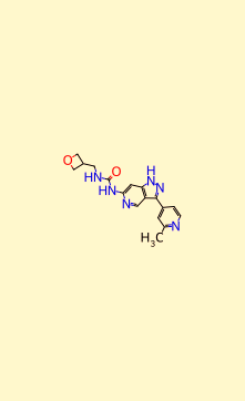 Cc1cc(-c2n[nH]c3cc(NC(=O)NCC4COC4)ncc23)ccn1